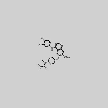 COc1cc2ncnc(Nc3ccc(F)c(Cl)c3)c2cc1O[C@H]1CC[C@@H](N(C)C(=O)N(C)C)CC1